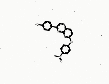 O=[N+]([O-])c1ccc(Nc2ccc3ncc(-c4ccc(O)cc4)nc3n2)cc1